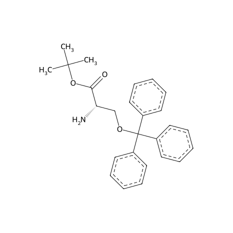 CC(C)(C)OC(=O)[C@@H](N)COC(c1ccccc1)(c1ccccc1)c1ccccc1